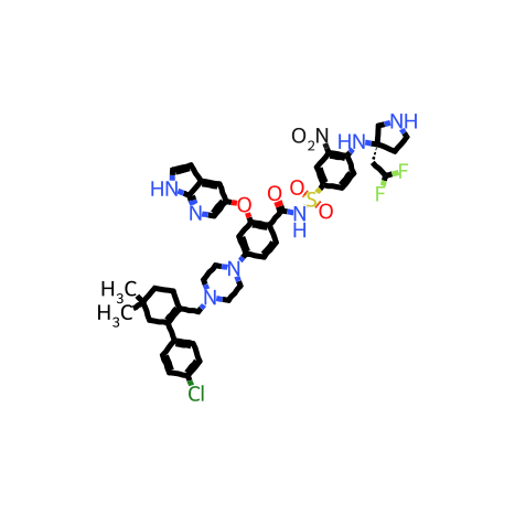 CC1(C)CCC(CN2CCN(c3ccc(C(=O)NS(=O)(=O)c4ccc(N[C@]5(CC(F)F)CCNC5)c([N+](=O)[O-])c4)c(Oc4cnc5[nH]ccc5c4)c3)CC2)=C(c2ccc(Cl)cc2)C1